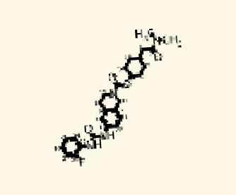 CN(C)C(=O)CC1CCC(OC(=O)N2CCc3cc(NC(=O)Nc4ccccc4F)ccc3C2)CC1